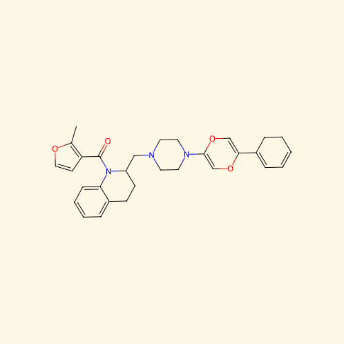 Cc1occc1C(=O)N1c2ccccc2CCC1CN1CCN(C2=COC(C3=CC=CCC3)=CO2)CC1